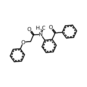 CN(C(=O)COc1ccccc1)c1ccccc1C(=O)c1ccccc1